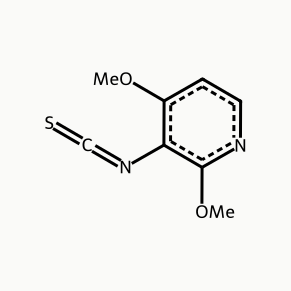 COc1ccnc(OC)c1N=C=S